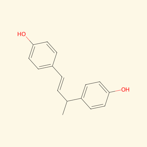 CC(/C=C/c1ccc(O)cc1)c1ccc(O)cc1